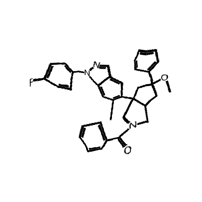 COC1(c2ccccc2)CC2CN(C(=O)c3ccccc3)CC2(c2cc3cnn(-c4ccc(F)cc4)c3cc2C)C1